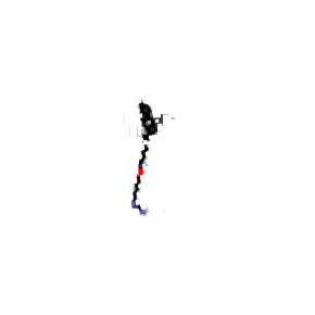 CCCCC/C=C\C/C=C\CCCCCCCCOCCCCSCC(=O)C1CC[C@H]2C(CCC)C(C3(C)C=CC(=O)C=C3)C(O)CC12O